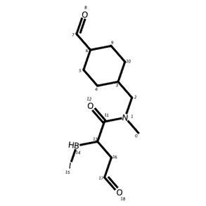 CN(CC1CCC(C=O)CC1)C(=O)C(BI)CC=O